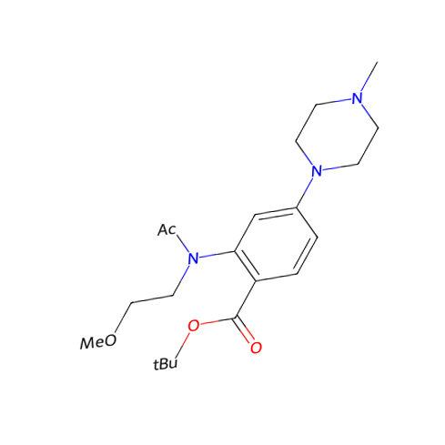 COCCN(C(C)=O)c1cc(N2CCN(C)CC2)ccc1C(=O)OC(C)(C)C